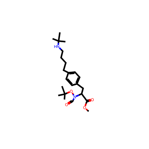 COC(=O)C(Cc1ccc(CCCCNC(C)(C)C)cc1)N(C=O)OC(C)(C)C